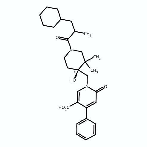 CC(CC1CCCCC1)C(=O)N1CC[C@@](O)(Cn2cc(C(=O)O)c(-c3ccccc3)cc2=O)C(C)(C)C1